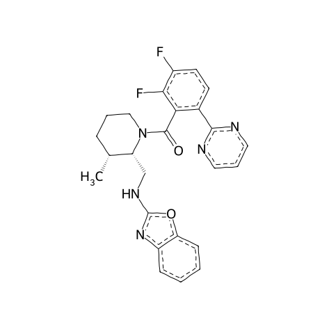 C[C@@H]1CCCN(C(=O)c2c(-c3ncccn3)ccc(F)c2F)[C@@H]1CNc1nc2ccccc2o1